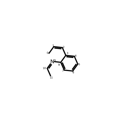 C/C=C\c1ccccc1/N=C\C